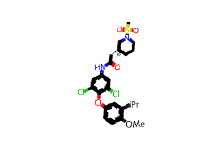 COc1ccc(Oc2c(Cl)cc(NC(=O)C[C@H]3CCCN(S(C)(=O)=O)C3)cc2Cl)cc1C(C)C